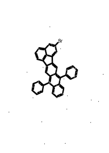 Brc1cc2c3c(cccc3c1)-c1cc3c(-c4ccccc4)c4ccccc4c(-c4ccccc4)c3cc1-2